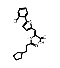 O=C(CCC1CCCC1)N/C(=C\c1ccc(-c2ccccc2Cl)s1)C(=O)O